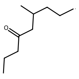 [CH2]CCC(C)CC(=O)CCC